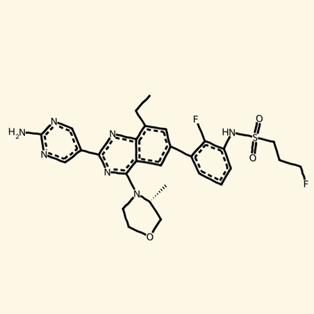 CCc1cc(-c2cccc(NS(=O)(=O)CCCF)c2F)cc2c(N3CCOC[C@H]3C)nc(-c3cnc(N)nc3)nc12